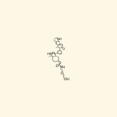 CC1=C2CCCC(OC(=O)NCCOCCO)CCC2C(c2cccc(-c3c(C)c4cc5c(cc4oc3=O)NCCC5)c2)=NN1